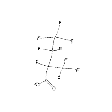 [O]C(=O)C(F)(C(F)(F)F)C(F)(F)C(F)(F)F